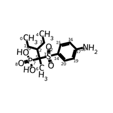 CCC(CC)C(C)(P(=O)(O)O)S(=O)(=O)c1ccc(N)cc1